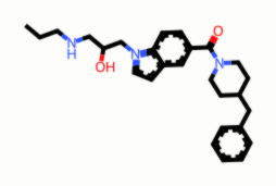 CCCNCC(O)Cn1ccc2cc(C(=O)N3CCC(Cc4ccccc4)CC3)ccc21